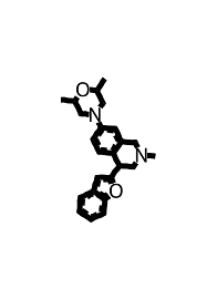 CC1CN(c2ccc3c(c2)CN(C)CC3c2cc3ccccc3o2)CC(C)O1